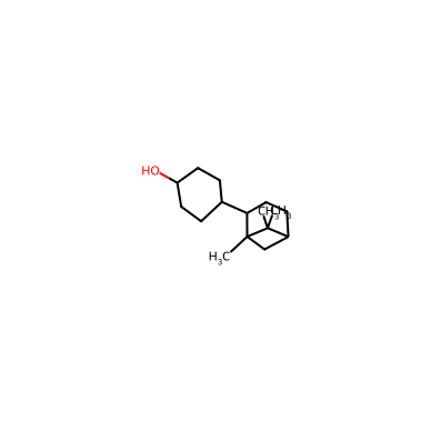 CC1(C)C2CCC(C3CCC(O)CC3)C1(C)C2